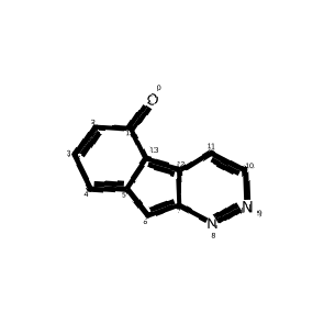 O=C1C=CC=C2C=c3nnccc3=C12